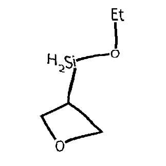 CCO[SiH2]C1COC1